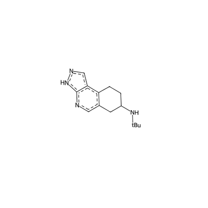 CC(C)(C)NC1CCc2c(cnc3[nH]ncc23)C1